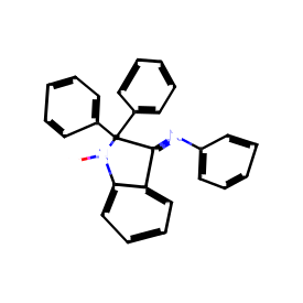 [O]N1c2ccccc2C(=Nc2ccccc2)C1(c1ccccc1)c1ccccc1